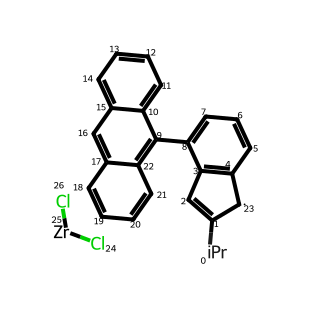 CC(C)C1=Cc2c(cccc2-c2c3ccccc3cc3ccccc23)[CH]1.[Cl][Zr][Cl]